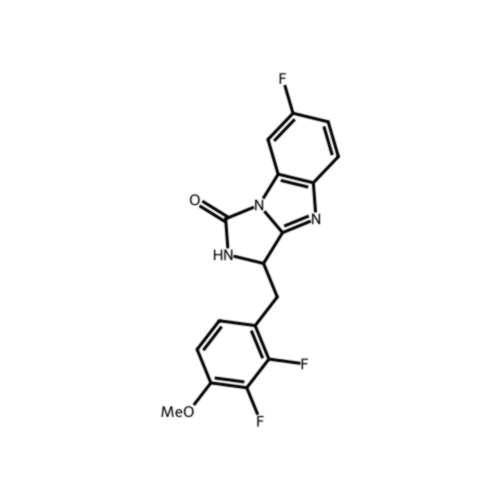 COc1ccc(CC2NC(=O)n3c2nc2ccc(F)cc23)c(F)c1F